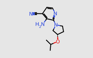 CC(C)O[C@@H]1CCN(c2nccc(C#N)c2N)C1